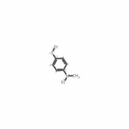 CCSc1ccc(N(C)CC)cc1